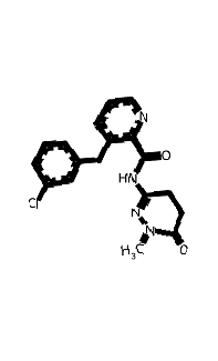 CN1N=C(NC(=O)c2ncccc2Cc2cccc(Cl)c2)CCC1=O